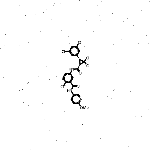 COc1ccc(NC(=O)c2cc(NC(=O)[C@H]3[C@H](c4cc(Cl)cc(Cl)c4)C3(Cl)Cl)ccc2Cl)cn1